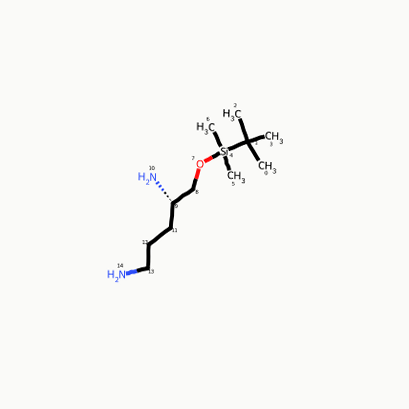 CC(C)(C)[Si](C)(C)OC[C@@H](N)CCCN